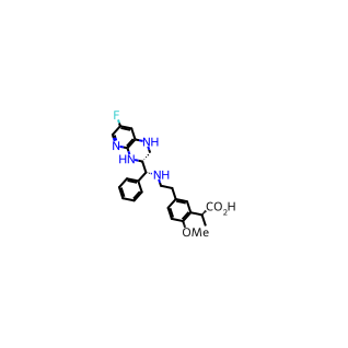 COc1ccc(CCN[C@H](c2ccccc2)[C@H]2CNc3cc(F)cnc3N2)cc1[C@H](C)C(=O)O